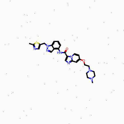 Cc1ncc(Cn2ncc3c(NC(=O)c4cnc5cc(OCCN6CCN(C)CC6)ccn45)cccc32)s1